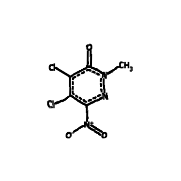 Cn1nc([N+](=O)[O-])c(Cl)c(Cl)c1=O